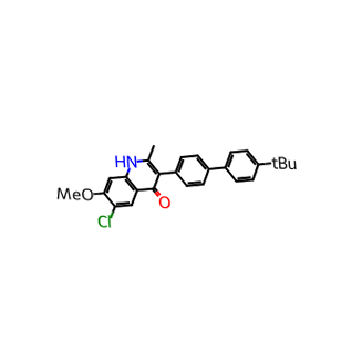 COc1cc2[nH]c(C)c(-c3ccc(-c4ccc(C(C)(C)C)cc4)cc3)c(=O)c2cc1Cl